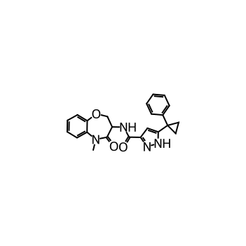 CN1C(=O)C(NC(=O)c2cc(C3(c4ccccc4)CC3)[nH]n2)COc2ccccc21